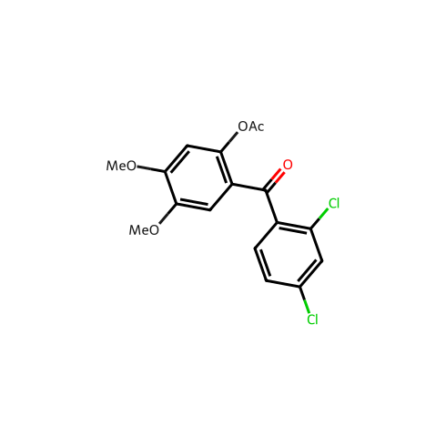 COc1cc(OC(C)=O)c(C(=O)c2ccc(Cl)cc2Cl)cc1OC